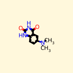 CN(C)c1ccc2[nH]c(=O)[nH]c(=O)c2c1